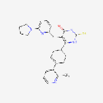 O=C1NC(S)NC(C2CC=C(c3cccnc3C(F)(F)F)CC2)=C1Cc1cccc(N2CCCC2)n1